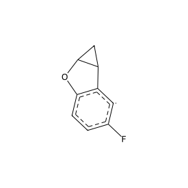 Fc1[c]c2c(cc1)OC1CC21